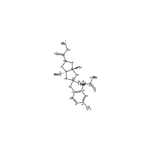 CO[C@]12CN(C(=O)OC(C)(C)C)C[C@@H]1C[N+](Cc1ncc(C(F)(F)F)cc1NC(=O)C(C)(C)C)(C(=O)O)C2